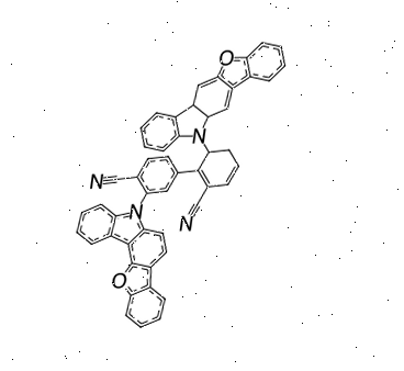 N#CC1=C(c2ccc(C#N)c(-n3c4ccccc4c4c5oc6ccccc6c5ccc43)c2)C(N2c3ccccc3C3C=c4oc5ccccc5c4=CC32)CC=C1